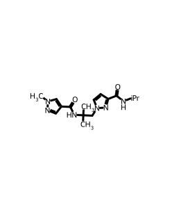 CC(C)NC(=O)c1ccn(CC(C)(C)NC(=O)c2cnn(C)c2)n1